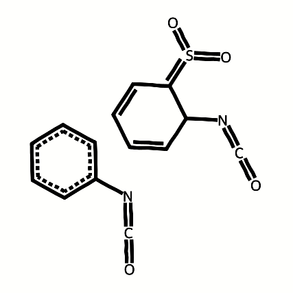 O=C=NC1C=CC=CC1=S(=O)=O.O=C=Nc1ccccc1